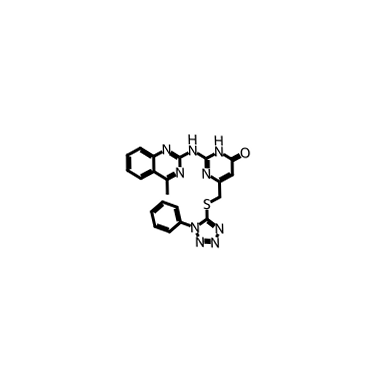 Cc1nc(Nc2nc(CSc3nnnn3-c3ccccc3)cc(=O)[nH]2)nc2ccccc12